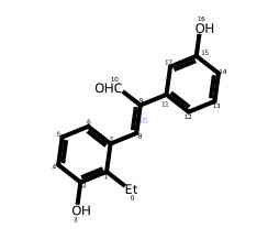 CCc1c(O)cccc1/C=C(\C=O)c1cccc(O)c1